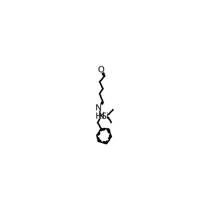 C[SiH](C)N(Cc1ccccc1)N=CCCCC=O